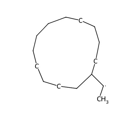 C[CH]C1CCCCCCCCCCCC1